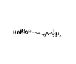 N=C(N)NCCc1ccc(OCCCCCCCCCCCCOc2ccc(CCNC(=N)N)cc2)cc1